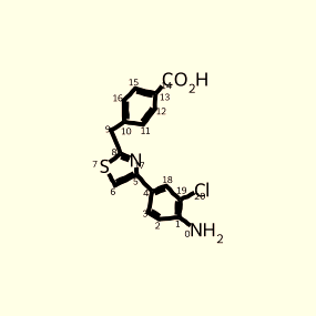 Nc1ccc(-c2csc(Cc3ccc(C(=O)O)cc3)n2)cc1Cl